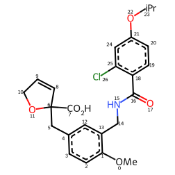 COc1ccc(CC2(C(=O)O)C=CCO2)cc1CNC(=O)c1ccc(OC(C)C)cc1Cl